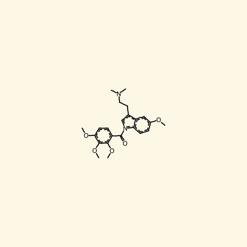 COc1ccc2c(c1)c(CCN(C)C)cn2C(=O)c1ccc(OC)c(OC)c1OC